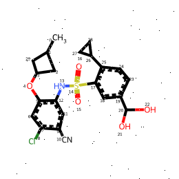 CC1CC(Oc2cc(Cl)c(C#N)cc2NS(=O)(=O)c2cc(C(O)O)ccc2C2CC2)C1